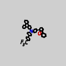 FC(F)(F)c1ccc(-c2ccc(N(c3ccc(-c4cccc5c4oc4ccccc45)cc3)c3ccc4c5ccccc5c5ccccc5c4c3)cc2)cc1